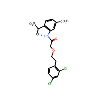 CC(c1ccc(C(=O)O)cc1NC(=O)COCCc1ccc(Cl)cc1Cl)[N+](=O)[O-]